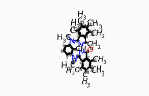 C=C1N=C(N(C)c2cccc(N(C)C3=NC(=O)c4c(C)c(C)c(C)c(C)c43)c2C)c2c(C)c(C)c(C)c(C)c21